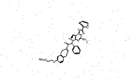 COCCOc1ccc2c(c1)CN(C(=O)C(c1ccccc1)n1ncc3c1nc(N)n1nc(-c4ccco4)nc31)CC2